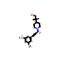 CC(C)(CO)C1CCN(CC#Cc2cc(C(F)(F)F)cc(C(F)(F)F)c2)CC1.Cl